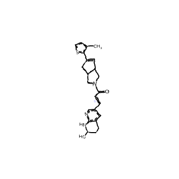 Cc1ccsc1C1=CC2CN(C(=O)/C=C/c3cnc4c(c3)CCC(O)N4)CC2C1